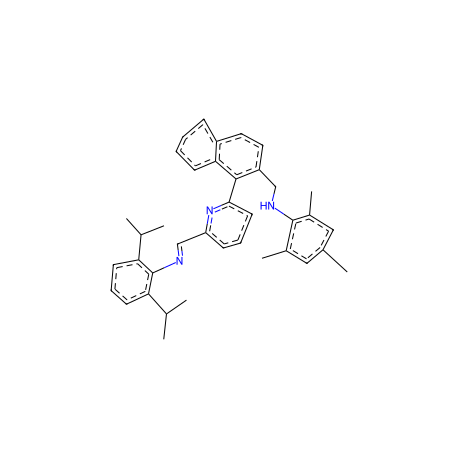 Cc1cc(C)c(NCc2ccc3ccccc3c2-c2cccc(C=Nc3c(C(C)C)cccc3C(C)C)n2)c(C)c1